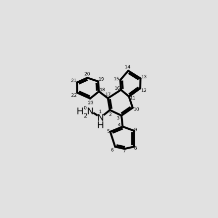 NNc1c(-c2ccccc2)cc2ccccc2c1-c1ccccc1